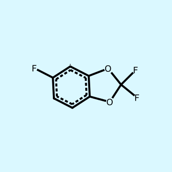 Fc1[c]c2c(cc1)OC(F)(F)O2